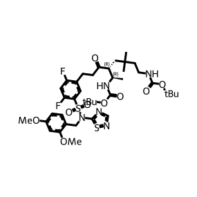 COc1ccc(CN(c2ncns2)S(=O)(=O)c2cc(CCC(=O)[C@H](CC(C)(C)CCNC(=O)OC(C)(C)C)[C@@H](C)NC(=O)OC(C)(C)C)c(F)cc2F)c(OC)c1